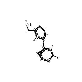 Cc1cccc(-c2cccc(CO)n2)n1